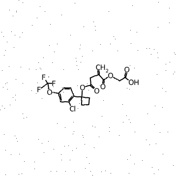 C=C(CC(=O)OC1(c2ccc(OC(F)(F)F)cc2Cl)CCC1)C(=O)OCC(=O)O